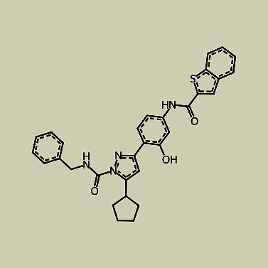 O=C(Nc1ccc(-c2cc(C3CCCC3)n(C(=O)NCc3ccccc3)n2)c(O)c1)c1cc2ccccc2s1